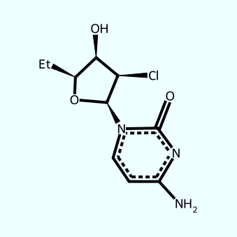 CC[C@@H]1O[C@H](n2ccc(N)nc2=O)[C@H](Cl)[C@@H]1O